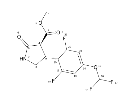 COC(=O)[C@@H]1C(=O)NC[C@H]1C1C(F)=CC(OC(F)F)=CC1F